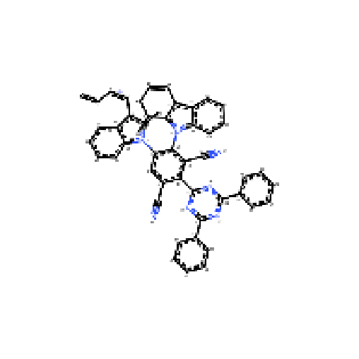 C=C/C=C\c1c(C)n(-c2cc(C#N)c(-c3nc(-c4ccccc4)nc(-c4ccccc4)n3)c(C#N)c2-n2c3c(c4ccccc42)C=CCC3C)c2ccccc12